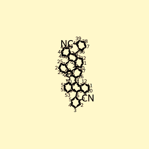 N#Cc1ccccc1-c1c2ccccc2c(-c2cccc3c2sc2cccc(-c4c5ccccc5c(-c5ccccc5C#N)c5ccccc45)c23)c2ccccc12